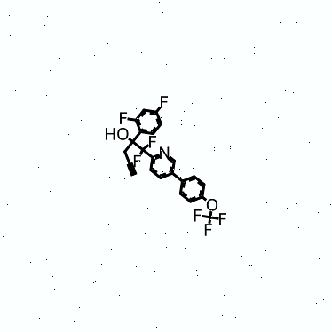 C#CCC(O)(c1ccc(F)cc1F)C(F)(F)c1ccc(-c2ccc(OC(F)(F)F)cc2)cn1